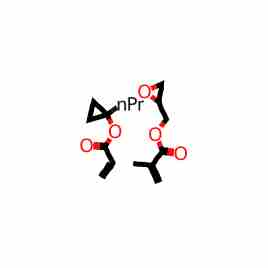 C=C(C)C(=O)OCC1CO1.C=CC(=O)OC1(CCC)CC1